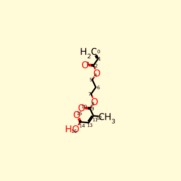 C=CC(=O)OCCCOC(=O)/C(C)=C\C(=O)O